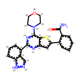 NC(=O)c1ccccc1-c1cc2nc(-c3cccc4[nH]ncc34)nc(N3CCOCC3)c2s1